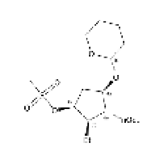 [CH2]C[C@@H]1[C@@H](CCCCCCCC)[C@H](O[C@H]2CCCCO2)C[C@@H]1OS(C)(=O)=O